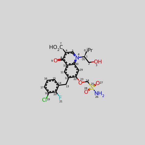 CC(C)[C@@H](CO)n1cc(C(=O)O)c(=O)c2cc(Cc3cccc(Cl)c3F)c(OCS(N)(=O)=O)cc21